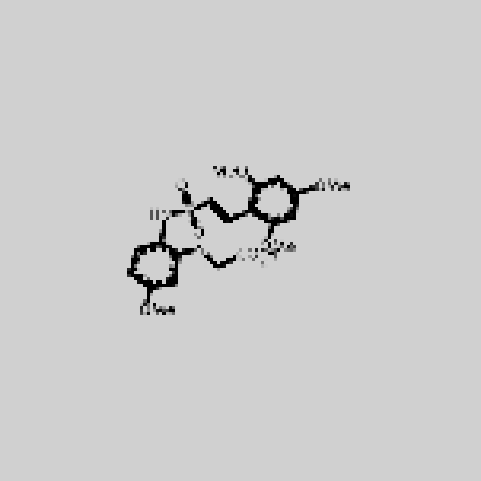 COc1ccc(NS(=O)(=O)C=Cc2c(OC)cc(OC)cc2OC)c(NCC(=O)O)c1